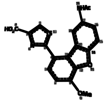 COc1ccc(-c2nc(C(=O)O)cs2)c2c1oc1ccc(NC(C)=O)cc12